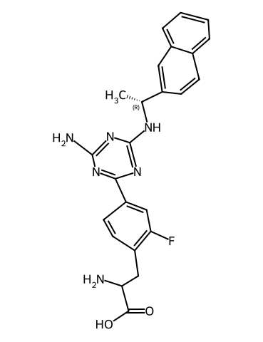 C[C@@H](Nc1nc(N)nc(-c2ccc(CC(N)C(=O)O)c(F)c2)n1)c1ccc2ccccc2c1